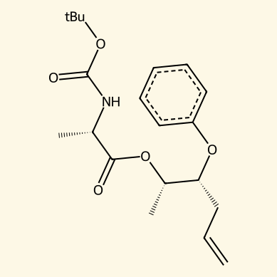 C=CC[C@@H](Oc1ccccc1)[C@H](C)OC(=O)[C@H](C)NC(=O)OC(C)(C)C